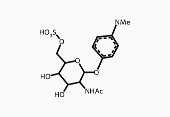 CNc1ccc(OC2OC(COS(=O)(=O)O)C(O)C(O)C2NC(C)=O)cc1